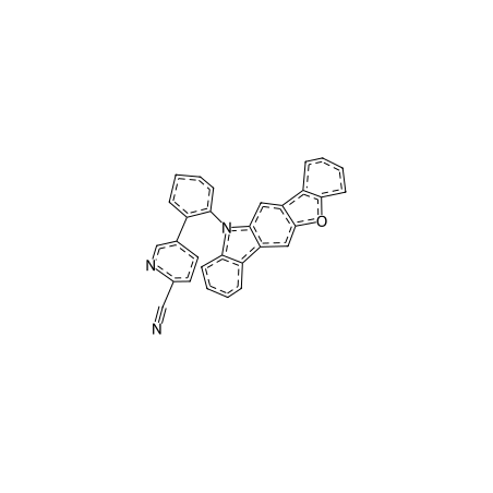 N#Cc1ccc(-c2ccccc2-n2c3ccccc3c3cc4oc5ccccc5c4cc32)cn1